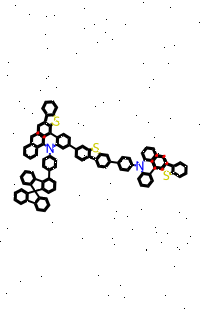 c1ccc(N(c2ccc(-c3ccc4c(c3)sc3cc(-c5ccc(-c6cccc7c6sc6ccccc67)c(N(c6ccc(-c7cccc8c7-c7ccccc7C87c8ccccc8-c8ccccc87)cc6)c6cccc7ccccc67)c5)ccc34)cc2)c2cccc3ccccc23)c(-c2cccc3c2sc2ccccc23)c1